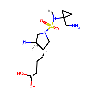 CCN(C1(CN)CC1)S(=O)(=O)N1C[C@H](CCCB(O)O)[C@@](C)(N)C1